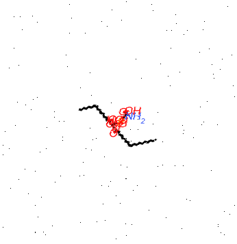 CCCCCC/C=C\CCCCCCCC(=O)O[C@H](COC(=O)CCCCCCC/C=C\CCCCCCCCC)COP(=O)(O)OC[C@H](N)C(=O)O